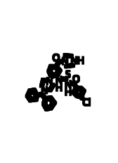 O=C(NC(=S)Nc1cc(C(=O)N2CCNCC2)ccc1N1CCN(C(c2ccccc2)c2ccccc2)CC1)c1ccc(Cl)cc1